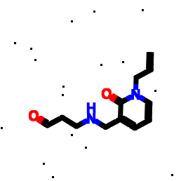 C=CCn1cccc(CNCCC=O)c1=O